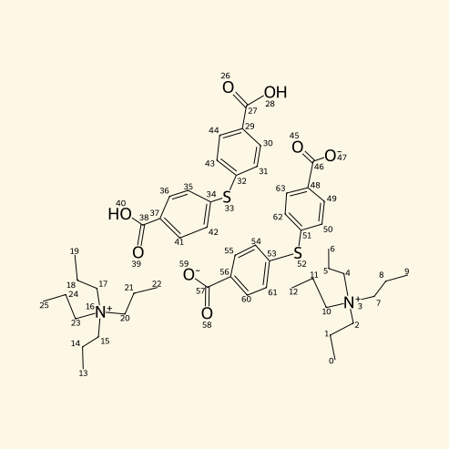 CCC[N+](CCC)(CCC)CCC.CCC[N+](CCC)(CCC)CCC.O=C(O)c1ccc(Sc2ccc(C(=O)O)cc2)cc1.O=C([O-])c1ccc(Sc2ccc(C(=O)[O-])cc2)cc1